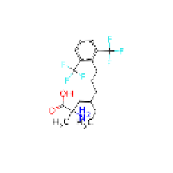 CCC(CCCc1c(C(F)(F)F)cccc1C(F)(F)F)CC(C)(N)C(=O)O